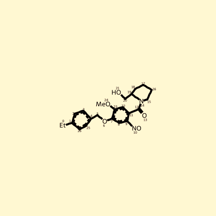 CCc1ccc(COc2cc(N=O)c(C(=O)N3CCCCC3CO)cc2OC)cc1